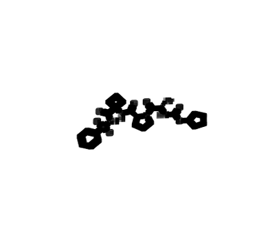 CC(C)[C@H](NC(=O)OC1CCCC1)C(=O)N1CCC[C@H]1C(=O)NC1(C(=O)NS(=O)(=O)c2ccccc2)CCC1